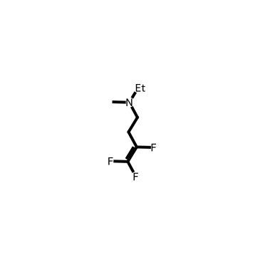 CCN(C)CCC(F)=C(F)F